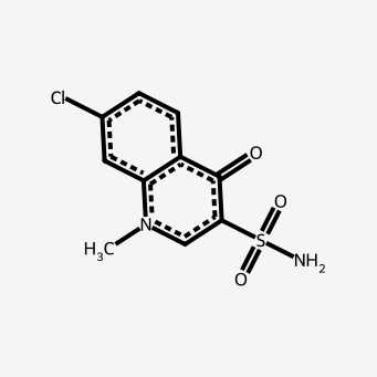 Cn1cc(S(N)(=O)=O)c(=O)c2ccc(Cl)cc21